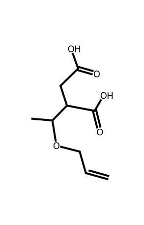 C=CCOC(C)C(CC(=O)O)C(=O)O